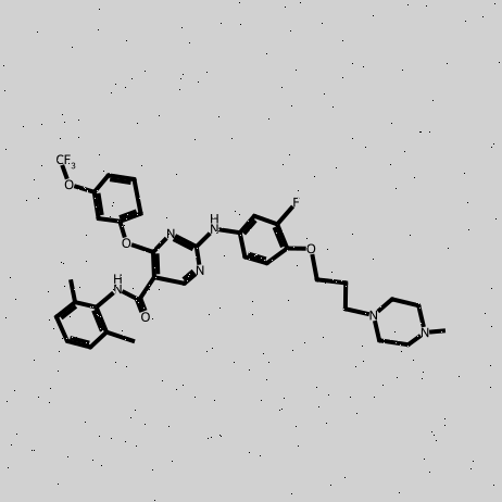 Cc1cccc(C)c1NC(=O)c1cnc(Nc2ccc(OCCCN3CCN(C)CC3)c(F)c2)nc1Oc1cccc(OC(F)(F)F)c1